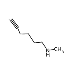 [C]#CCCCCNC